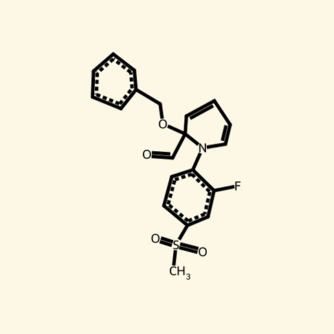 CS(=O)(=O)c1ccc(N2C=CC=CC2(C=O)OCc2ccccc2)c(F)c1